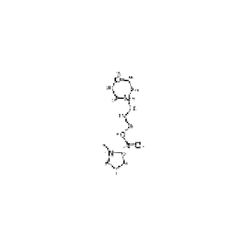 CN1CCC[C@H]1C(=O)OCCCN1CCOCC1